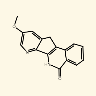 COc1cnc2c(c1)Cc1c-2[nH]c(=O)c2ccccc12